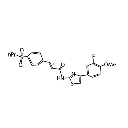 CCCS(=O)(=O)c1ccc(/C=C/C(=O)Nc2nc(-c3ccc(OC)c(F)c3)cs2)cc1